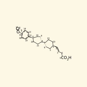 O=C(O)CC=C[C@H]1CC[C@H]([C@H]2CC[C@H](c3ccc(OC(F)(F)F)cc3)CC2)CC1